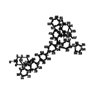 C[C@@H]1CC2CC(C1)[C@]1(c3ccccc3-c3ccc(-c4ccc(-c5ccc(N(c6ccc(-c7ccccc7)cc6)c6ccc7c(c6)[C@@]6(c8ccccc8-7)[C@H]7CC(C[C@@H](C)C7)C[C@@H]6C)cc5)cc4)cc31)[C@@H](C)C2